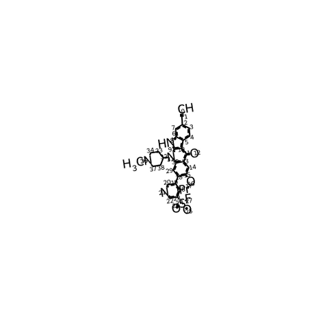 C#Cc1ccc2c(c1)[nH]c1c2c(=O)c2cc(OC(C)C)c(-c3cncc(S(=O)(=O)F)c3)cc2n1C1CCN(C)CC1